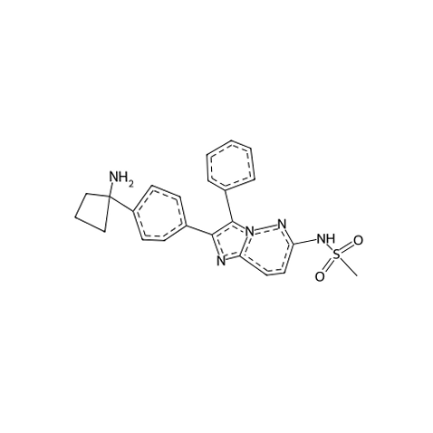 CS(=O)(=O)Nc1ccc2nc(-c3ccc(C4(N)CCC4)cc3)c(-c3ccccc3)n2n1